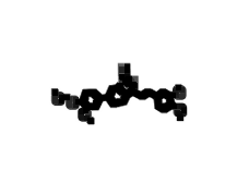 COCOc1ccc(-c2ccc3c(/C=C/c4ccc(OC)c(OC)c4)n[nH]c3c2)cc1OC